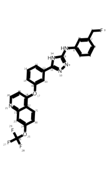 FCc1cccc(Nc2nnc(-c3cccc(Oc4ccnc5cc(OC(F)(F)F)ccc45)c3)[nH]2)c1